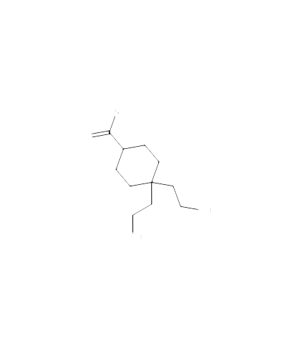 NC(=O)C1CCC(CCO)(CCO)CC1